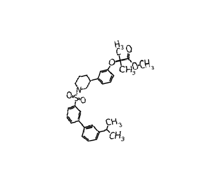 COC(=O)C(C)(C)Oc1cccc(C2CCCN(S(=O)(=O)c3cccc(-c4cccc(C(C)C)c4)c3)C2)c1